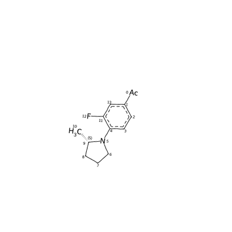 CC(=O)c1ccc(N2CCC[C@@H]2C)c(F)c1